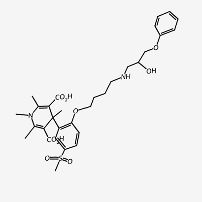 CC1=C(C(=O)O)C(C)(c2cc(S(C)(=O)=O)ccc2OCCCCNCC(O)COc2ccccc2)C(C(=O)O)=C(C)N1C